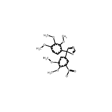 COc1cc(C2(c3ccc(OC)c(OC)c3OC)C=NC=N2)cc([N+](=O)[O-])c1OC